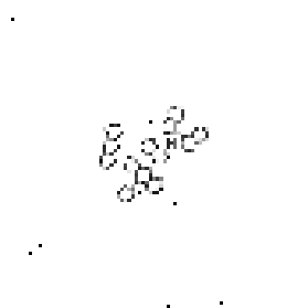 c1ccc(-c2c3ccccc3c(-c3ccc(-n4c5ccc6ccccc6c5c5c6ccccc6ccc54)c4ccccc34)c3ccc(-c4cccc5cc6ccccc6cc45)cc23)cc1